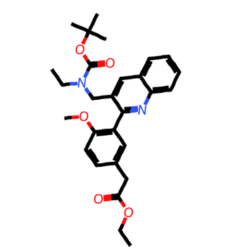 CCOC(=O)Cc1ccc(OC)c(-c2nc3ccccc3cc2CN(CC)C(=O)OC(C)(C)C)c1